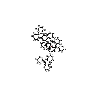 c1ccc(-c2nc(-c3ccc4c5ccccc5n(-c5ccccc5)c4c3)nc(-n3c4ccccc4c4ccc5c6ccccc6n(-c6ccccc6-c6ccc7c8ccccc8c8ccccc8c7c6)c5c43)n2)cc1